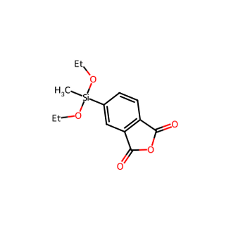 CCO[Si](C)(OCC)c1ccc2c(c1)C(=O)OC2=O